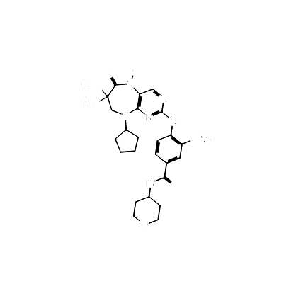 COc1cc(C(=O)NC2CCOCC2)ccc1Nc1ncc2c(n1)N(C1CCCC1)CC(C)(C)C(=O)N2C